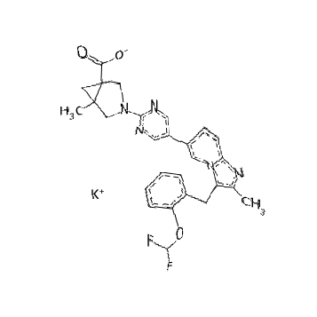 Cc1nc2ccc(-c3cnc(N4CC5(C)CC5(C(=O)[O-])C4)nc3)cn2c1Cc1ccccc1OC(F)F.[K+]